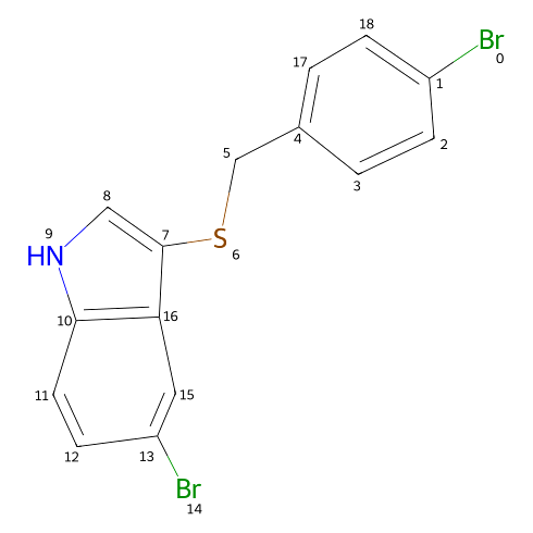 Brc1ccc(CSc2c[nH]c3ccc(Br)cc23)cc1